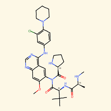 CN[C@@H](C)C(=O)N[C@H](C(=O)N(C(=O)[C@@H]1CCCN1)c1cc2c(Nc3ccc(N4CCCCC4)c(Cl)c3)ncnc2cc1OC)C(C)(C)C